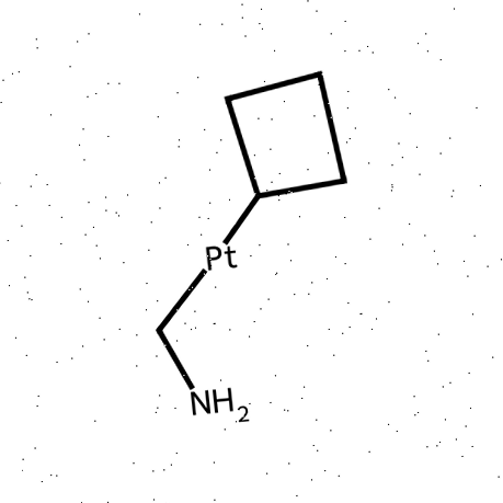 N[CH2][Pt][CH]1CCC1